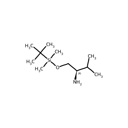 CC(C)[C@@H](N)CO[Si](C)(C)C(C)(C)C